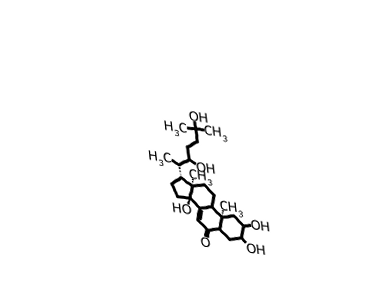 CC(C(O)CCC(C)(C)O)[C@H]1CC[C@@]2(O)C3=CC(=O)C4CC(O)C(O)C[C@]4(C)C3CC[C@]12C